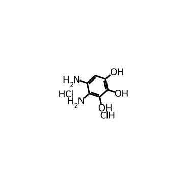 Cl.Cl.Nc1cc(O)c(O)c(O)c1N